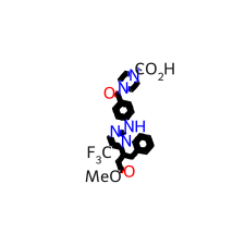 COC(=O)CC(Cc1ccccc1)c1nc(Nc2ccc(C(=O)N3CCN(C(=O)O)CC3)cc2)ncc1C(F)(F)F